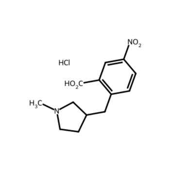 CN1CCC(Cc2ccc([N+](=O)[O-])cc2C(=O)O)C1.Cl